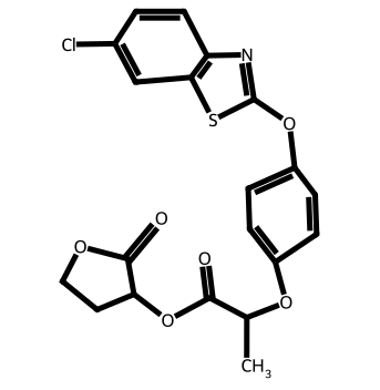 CC(Oc1ccc(Oc2nc3ccc(Cl)cc3s2)cc1)C(=O)OC1CCOC1=O